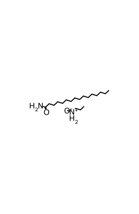 CCCCCCCCCCCCCCCC(N)=O.CCC[NH2+][O-]